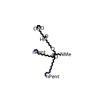 CCCCC/C=C\C/C=C\CCCCCCCCC1(CCCCCCCC/C=C\C/C=C\CCCCC)OC(CCNC)C(CCOCCCCCCNC(=O)CCCCCN2C(=O)C=CC2=O)O1